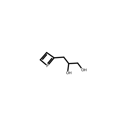 OCC(O)CC1=PC=C1